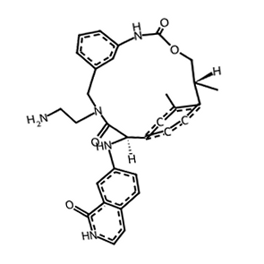 Cc1cc2ccc1[C@@H](C)COC(=O)Nc1cccc(c1)CN(CCN)C(=O)[C@@H]2Nc1ccc2cc[nH]c(=O)c2c1